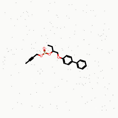 CC#CCOS(=O)OC(CC)COc1ccc(-c2ccccc2)cc1